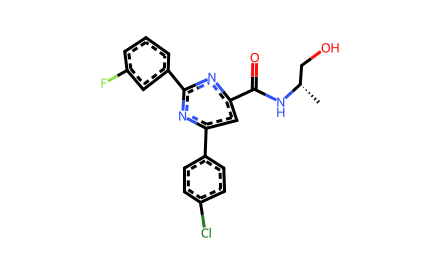 C[C@@H](CO)NC(=O)c1cc(-c2ccc(Cl)cc2)nc(-c2cccc(F)c2)n1